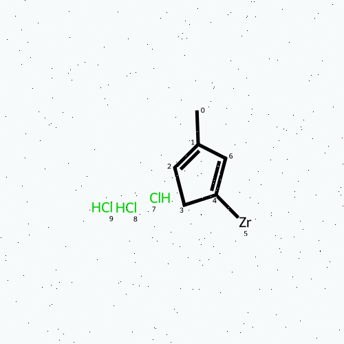 CC1=CC[C]([Zr])=C1.Cl.Cl.Cl